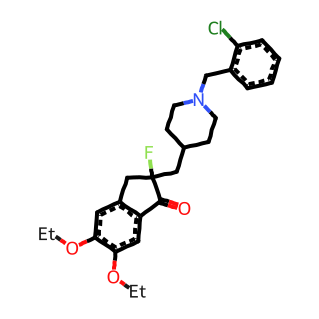 CCOc1cc2c(cc1OCC)C(=O)C(F)(CC1CCN(Cc3ccccc3Cl)CC1)C2